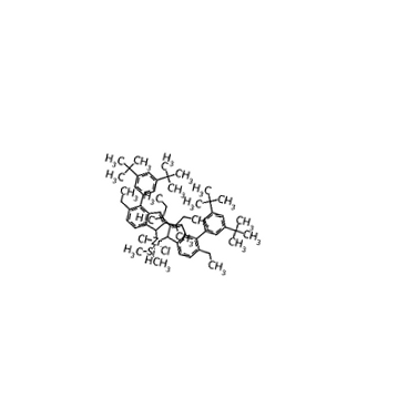 CCc1ccc2c(c1-c1cc(C(C)(C)C)cc(C(C)(C)C)c1)C=C(C(C)CC)[CH]2[Zr]([Cl])([Cl])([CH]1C(C(C)CC)=Cc2c1ccc(CC)c2-c1cc(C(C)(C)C)cc(C(C)(C)C)c1)[SiH](C)C